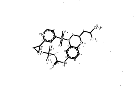 CC(CC1CN(S(=O)(=O)c2ccnc(C3CC3)c2)c2cc(NC(=O)OC(C)(C)C(F)(F)F)ccc2O1)C(=O)O